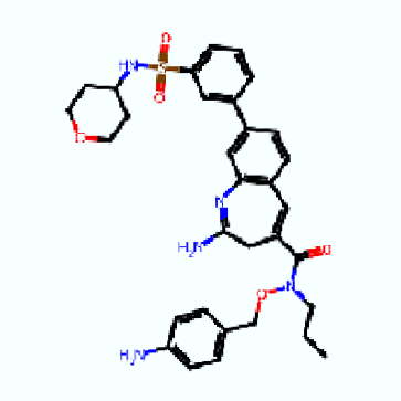 CCCN(OCc1ccc(N)cc1)C(=O)C1=Cc2ccc(-c3cccc(S(=O)(=O)NC4CCOCC4)c3)cc2N=C(N)C1